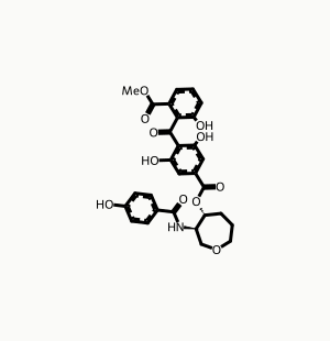 COC(=O)c1cccc(O)c1C(=O)c1c(O)cc(C(=O)O[C@@H]2CCCOC[C@H]2NC(=O)c2ccc(O)cc2)cc1O